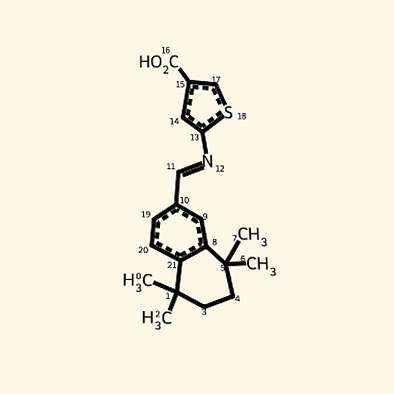 CC1(C)CCC(C)(C)c2cc(C=Nc3cc(C(=O)O)cs3)ccc21